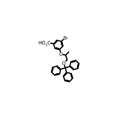 CC(COC(c1ccccc1)(c1ccccc1)c1ccccc1)Oc1cc(Br)cc(C(=O)O)c1